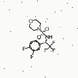 O=S(=O)(N[C@H](c1ccc(F)c(F)c1)C(F)(F)F)N1CCOCC1